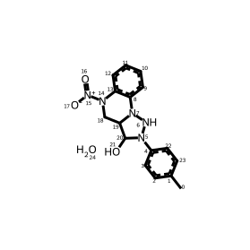 Cc1ccc(N2NN3c4ccccc4N([N+](=O)[O-])CC3C2O)cc1.O